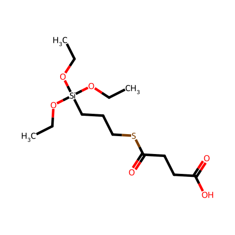 CCO[Si](CCCSC(=O)CCC(=O)O)(OCC)OCC